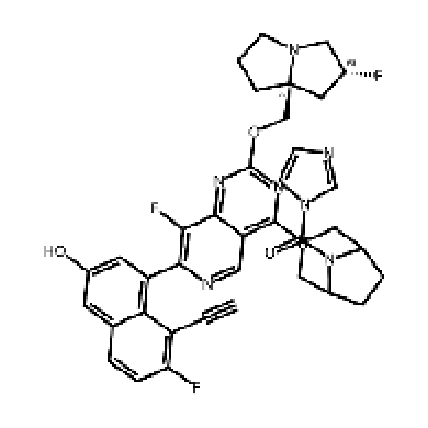 C#Cc1c(F)ccc2cc(O)cc(-c3ncc4c(N5CC6CCC(C5)N6C(=O)n5ccnc5)nc(OC[C@@]56CCCN5C[C@H](F)C6)nc4c3F)c12